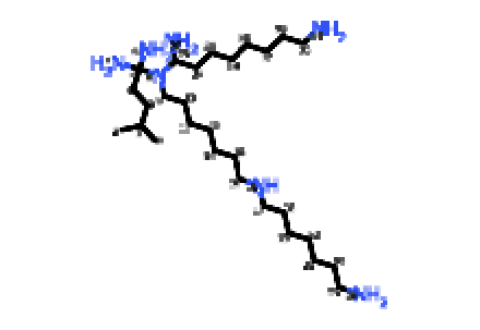 CC(C)CCC(N)(N)N(CCCCCCCNCCCCCCCN)C(N)CCCCCCCN